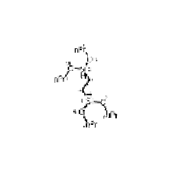 CCCO[SiH](CC[SiH](OCCC)OCCC)OCCC